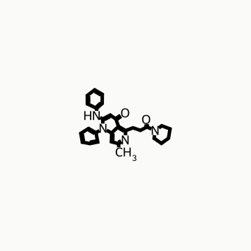 Cc1cc2c(c(CCC(=O)N3CCCCC3)n1)c(=O)cc(Nc1ccccc1)n2-c1ccccc1